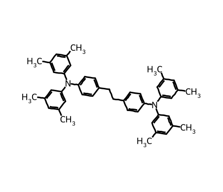 Cc1cc(C)cc(N(c2ccc(CCc3ccc(N(c4cc(C)cc(C)c4)c4cc(C)cc(C)c4)cc3)cc2)c2cc(C)cc(C)c2)c1